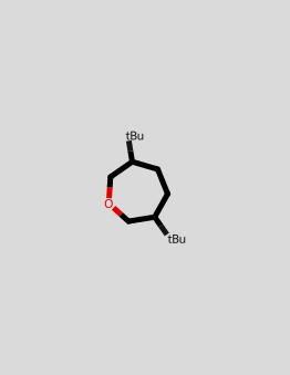 CC(C)(C)C1CCC(C(C)(C)C)COC1